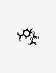 CC(I)OC(=O)OC1(C)CCC(C(C)C)CC1